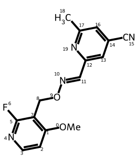 COc1ccnc(F)c1CON=Cc1cc(C#N)cc(C)n1